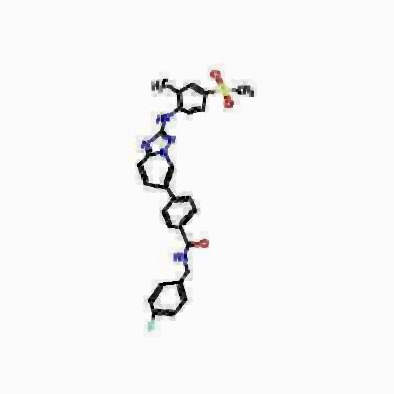 Cc1cc(S(C)(=O)=O)ccc1Nc1nc2ccc(-c3ccc(C(=O)NCc4ccc(F)cc4)cc3)cn2n1